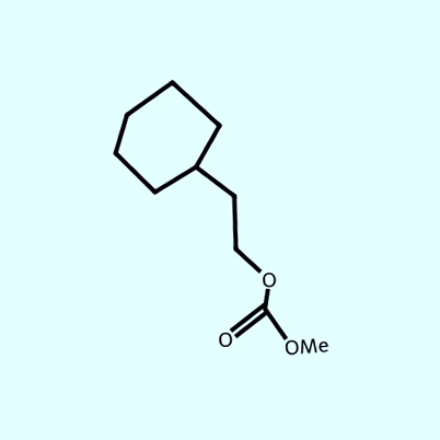 COC(=O)OCCC1CCCCC1